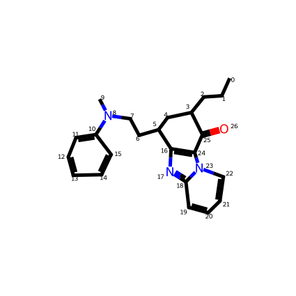 CCCC1CC(CCN(C)c2ccccc2)c2nc3ccccn3c2C1=O